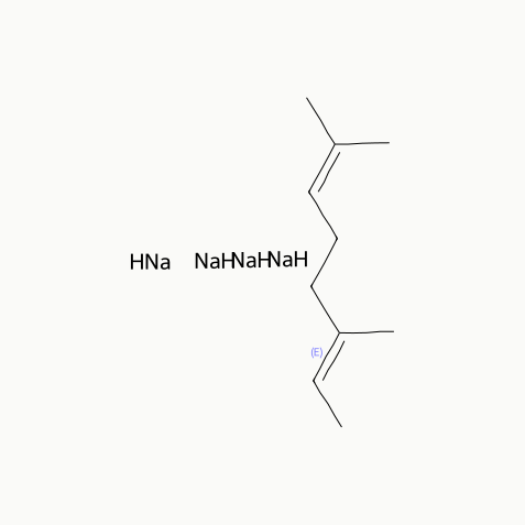 C/C=C(\C)CCC=C(C)C.[NaH].[NaH].[NaH].[NaH]